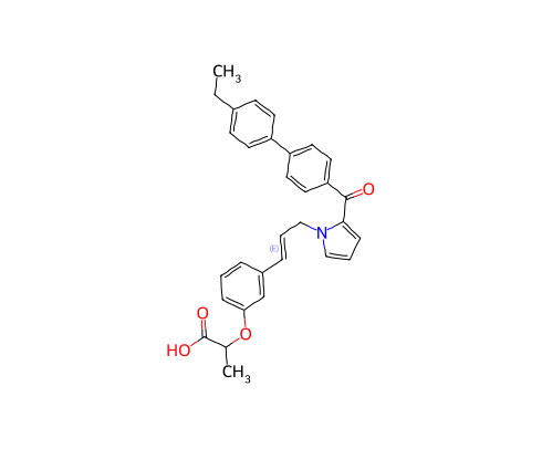 CCc1ccc(-c2ccc(C(=O)c3cccn3C/C=C/c3cccc(OC(C)C(=O)O)c3)cc2)cc1